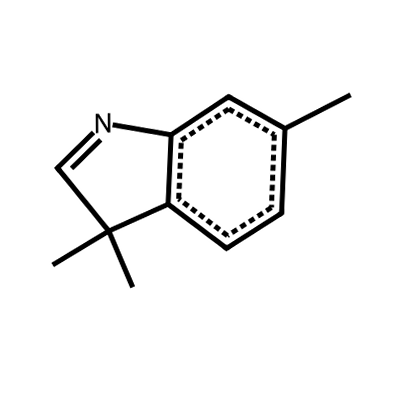 Cc1ccc2c(c1)N=CC2(C)C